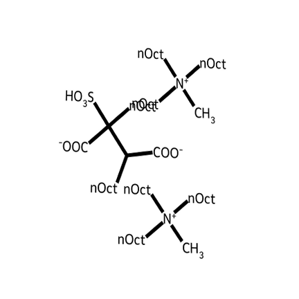 CCCCCCCCC(C(=O)[O-])C(CCCCCCCC)(C(=O)[O-])S(=O)(=O)O.CCCCCCCC[N+](C)(CCCCCCCC)CCCCCCCC.CCCCCCCC[N+](C)(CCCCCCCC)CCCCCCCC